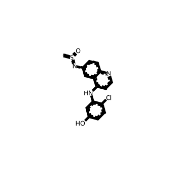 C=S(=O)=Nc1ccc2nccc(Nc3cc(O)ccc3Cl)c2c1